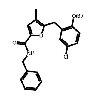 Cc1cc(C(=O)NCc2ccccc2)oc1Cc1cc(Cl)ccc1OCC(C)C